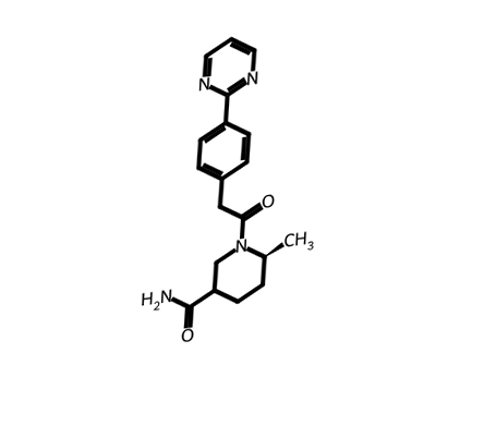 C[C@H]1CCC(C(N)=O)CN1C(=O)Cc1ccc(-c2ncccn2)cc1